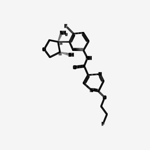 N[C@@]1(c2cc(NC(=O)c3cnc(OCCF)cn3)ccc2F)COC[C@H]1S